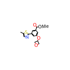 COC(=O)c1cc(OC2COC2)cc(-c2ncc(C)s2)c1